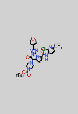 C[C@H]1C[C@H](C(=O)Nc2ccc(C(F)(F)F)nc2Cl)n2c1c(N1CCN(C(=O)OC(C)(C)C)CC1)c(=O)n1nc(C3=CCOCC3)nc21